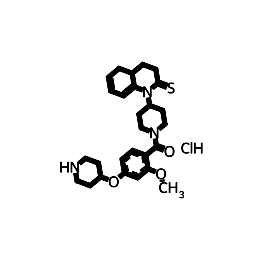 COc1cc(OC2CCNCC2)ccc1C(=O)N1CCC(N2C(=S)CCC3CC=CC=C32)CC1.Cl